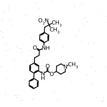 CN1CCC(OC(=O)Nc2cc(CCC(=O)Nc3ccc(CC(C)(C)[N+](=O)[O-])cc3)ccc2-c2ccccc2)CC1